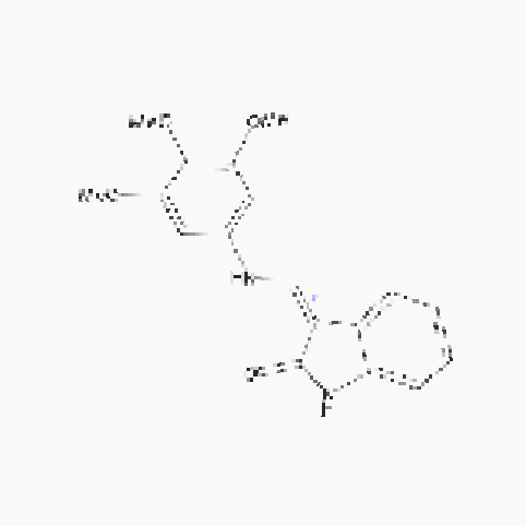 COc1cc(N/C=C2\C(=O)Nc3ccccc32)cc(OC)c1OC